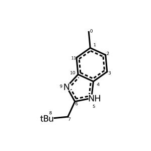 Cc1ccc2[nH]c(CC(C)(C)C)nc2c1